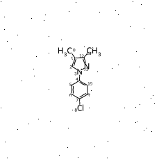 Cc1cn(-c2ccc(Cl)cc2)nc1C